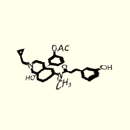 CC(=O)Oc1cccc([C@@]23CCN(CC4CC4)C[C@@]2(O)CC[C@H](N(C)C(=O)C=Cc2cccc(O)c2)C3)c1